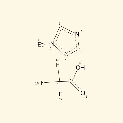 CCn1ccnc1.O=C(O)C(F)(F)F